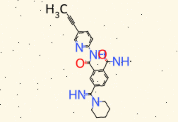 CC#Cc1ccc(NC(=O)c2cc(C(=N)N3CCCCC3)ccc2C([NH])=O)nc1